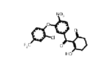 O=C1CCCC(O)=C1C(=O)c1ccc([N+](=O)[O-])c(Oc2ccc(C(F)(F)F)cc2Cl)c1